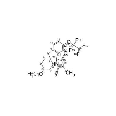 COC1CCC2(CC1)Cc1ccc(OC(F)(F)C(F)F)cc1C21NC(=S)N(C)CC1=O